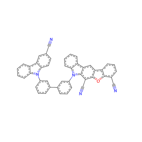 N#Cc1ccc2c(c1)c1ccccc1n2-c1cccc(-c2cccc(-n3c4ccccc4c4cc5c(oc6c(C#N)cccc65)c(C#N)c43)c2)c1